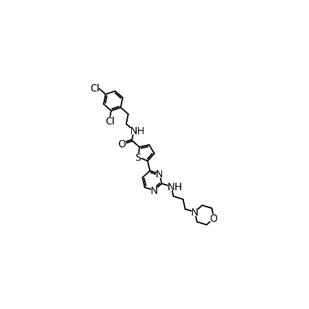 O=C(NCCc1ccc(Cl)cc1Cl)c1ccc(-c2ccnc(NCCCN3CCOCC3)n2)s1